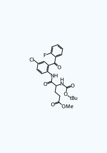 COC(=O)CCC(NC(=O)OC(C)(C)C)C(=O)Nc1ccc(Cl)cc1C(=O)c1ccccc1F